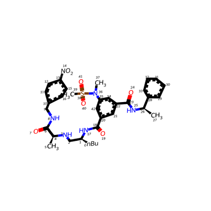 CCCC[C@@H](CN[C@@H](C)C(=O)NCc1ccc([N+](=O)[O-])cc1)NC(=O)c1cc(C(=O)N[C@H](C)c2ccccc2)cc(N(C)S(C)(=O)=O)c1